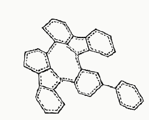 c1ccc(-c2ccc3c(c2)n2c4ccccc4c4cccc(c5cccc6c7ccccc7n3c65)c42)cc1